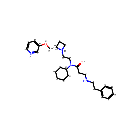 O=C(CCNCCc1ccccc1)N(CCN1CC[C@H]1COc1cccnc1)C1CCCCC1